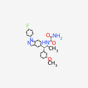 COc1cccc([C@@H](c2ccc3c(cnn3-c3ccc(F)cc3)c2)[C@H](C)NC(=O)C(N)=O)c1